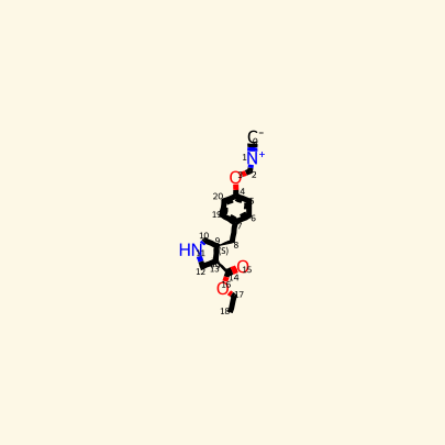 [C-]#[N+]COc1ccc(C[C@@H]2CNC[C@@H]2C(=O)OCC)cc1